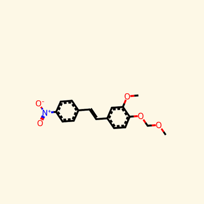 COCOc1ccc(/C=C/c2ccc([N+](=O)[O-])cc2)cc1OC